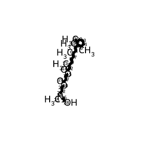 CC1=C(/C=C/C(C)=C/C=C/C(C)=C/C(=O)OCCC(=O)OCCCN(C)CCO)C(C)(C)CCC1